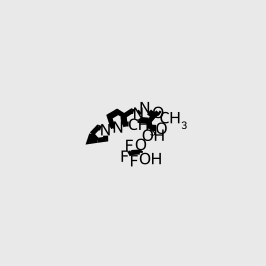 COc1nn(Cc2ccc(N3CC4CC4C3)nc2C)cc1C(=O)O.O=C(O)C(F)(F)F